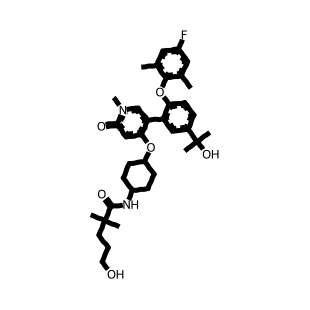 Cc1cc(F)cc(C)c1Oc1ccc(C(C)(C)O)cc1-c1cn(C)c(=O)cc1OC1CCC(NC(=O)C(C)(C)CCCO)CC1